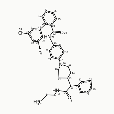 CCCNC(=O)C(c1ccccc1)C1CCN(c2ccc(NC(=O)c3ccccc3-c3cc(Cl)cc(Cl)c3)cc2)CC1